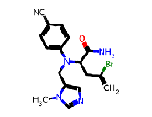 C=C(Br)CC(C(N)=O)N(Cc1cncn1C)c1ccc(C#N)cc1